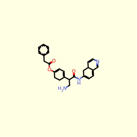 NCC(C(=O)NC1=CC=C2C=NC=CC2C1)C1=CC=C(OC(=O)Cc2ccccc2)CC1